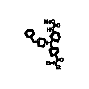 CCN(CC)C(=O)c1ccc([C@@H](c2cccc(NC(=O)OC)c2)N2CCN(Cc3ccccc3)CC2)cc1